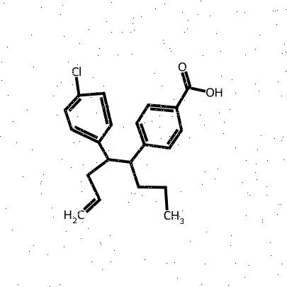 C=CCC(c1ccc(Cl)cc1)C(CCC)c1ccc(C(=O)O)cc1